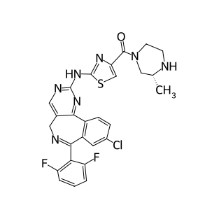 C[C@@H]1CN(C(=O)c2csc(Nc3ncc4c(n3)-c3ccc(Cl)cc3C(c3c(F)cccc3F)=NC4)n2)CCN1